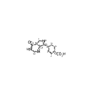 O=C(O)c1ccc(-n2ncc3c(=O)[nH]cnc32)cc1